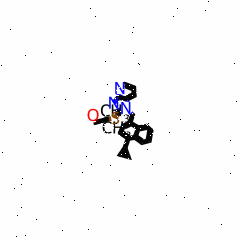 CC(C)(C=O)Sc1nc2ncccc2n1Cc1ccc(C2CC2)c2ccccc12